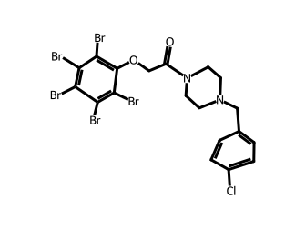 O=C(COc1c(Br)c(Br)c(Br)c(Br)c1Br)N1CCN(Cc2ccc(Cl)cc2)CC1